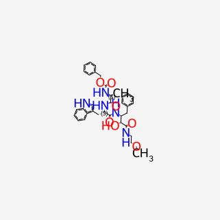 COCCNC(=O)C(O)C(Cc1ccccc1)NC(=O)[C@H](Cc1c[nH]c2ccccc12)NC(=O)[C@H](C)NC(=O)OCc1ccccc1